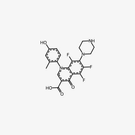 Cc1cc(O)ccc1-n1cc(C(=O)O)c(=O)c2c(F)c(F)c(N3CCNCC3)c(F)c21